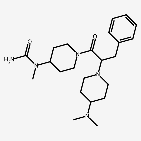 CN(C)C1CCN(C(Cc2ccccc2)C(=O)N2CCC(N(C)C(N)=O)CC2)CC1